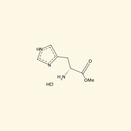 COC(=O)[C@H](N)Cc1c[nH]cn1.Cl